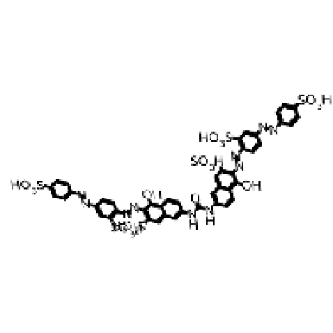 O=C(Nc1ccc2c(O)c(N=Nc3ccc(N=Nc4ccc(S(=O)(=O)O)cc4)cc3S(=O)(=O)O)c(S(=O)(=O)O)cc2c1)Nc1ccc2c(O)c(N=Nc3ccc(N=Nc4ccc(S(=O)(=O)O)cc4)cc3S(=O)(=O)O)c(S(=O)(=O)O)cc2c1